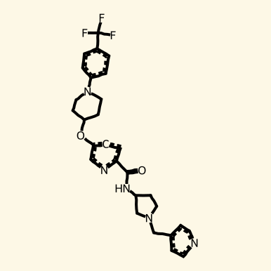 O=C(NC1CCN(Cc2ccncc2)C1)c1ccc(OC2CCN(c3ccc(C(F)(F)F)cc3)CC2)cn1